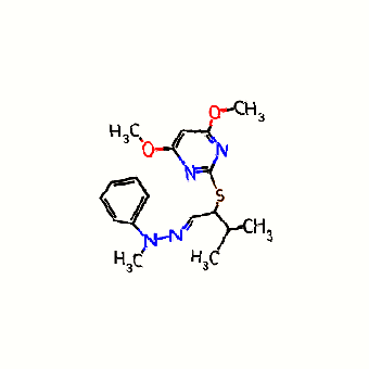 COc1cc(OC)nc(SC(C=NN(C)c2ccccc2)C(C)C)n1